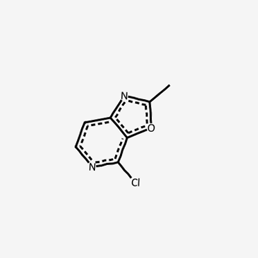 Cc1nc2ccnc(Cl)c2o1